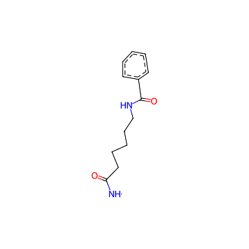 [NH]C(=O)CCCCCNC(=O)c1ccccc1